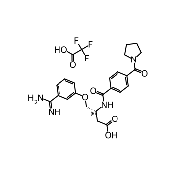 N=C(N)c1cccc(OC[C@@H](CC(=O)O)NC(=O)c2ccc(C(=O)N3CCCC3)cc2)c1.O=C(O)C(F)(F)F